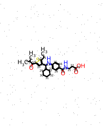 CCc1sc(C(=O)C(C)C)cc1C(Nc1ccc(C(=O)NCCC(=O)O)cc1)C1CCCCC1